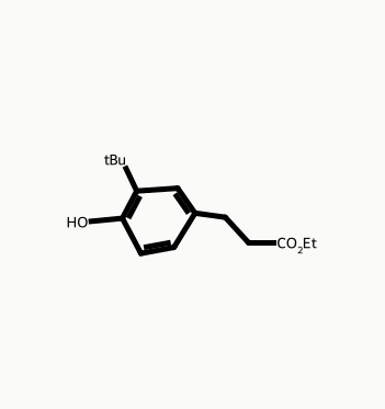 CCOC(=O)CCc1ccc(O)c(C(C)(C)C)c1